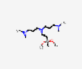 CCCN(C)CCCN(CCCN(C)CCC)CC[Si](C)(OCC)OCC